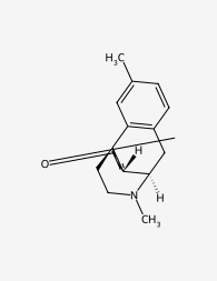 Cc1ccc2c(c1)[C@]13CCN(C)[C@H](C2)[C@@H]1C=CC(=O)C3